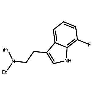 CCN(CCc1c[nH]c2c(F)cccc12)C(C)C